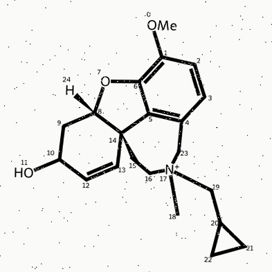 COc1ccc2c3c1O[C@H]1CC(O)C=C[C@@]31CC[N+](C)(CC1CC1)C2